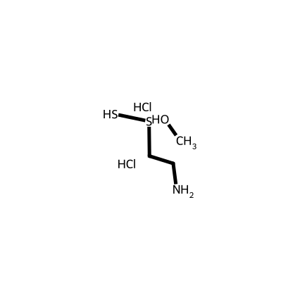 CO.Cl.Cl.NCCSS